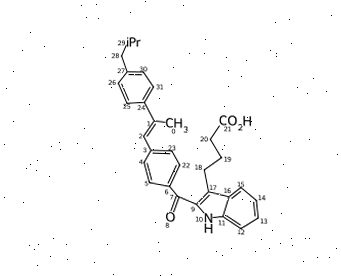 CC(=Cc1ccc(C(=O)c2[nH]c3ccccc3c2CCCC(=O)O)cc1)c1ccc(CC(C)C)cc1